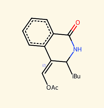 CCC(C)C1NC(=O)c2ccccc2/C1=C/OC(C)=O